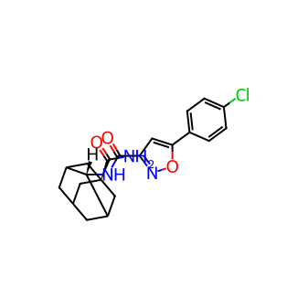 NC(=O)[C@]12CC3CC(C1)[C@@H](NC(=O)c1cc(-c4ccc(Cl)cc4)on1)C(C3)C2